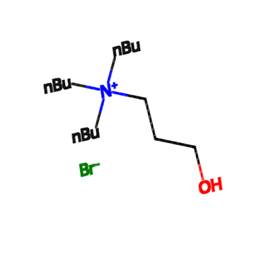 CCCC[N+](CCCC)(CCCC)CCCO.[Br-]